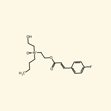 CCCC[N@+]([O-])(CCO)CCOC(=O)/C=C/c1ccc(F)cc1